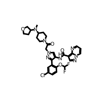 CN(C1CCN(C(=O)Cn2cc(NC(=O)c3cnn4cccnc34)c(-c3cc(Cl)ccc3OC(F)F)n2)CC1)C1CCOC1